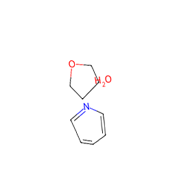 C1CCOC1.O.c1ccncc1